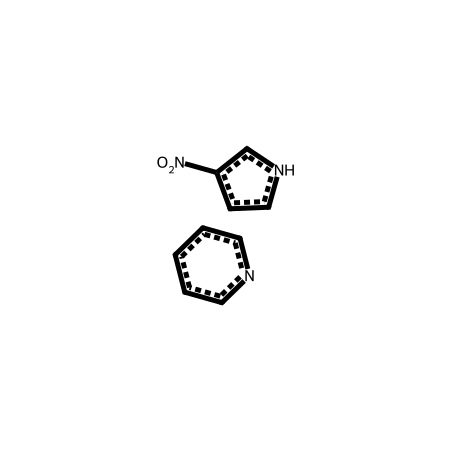 O=[N+]([O-])c1cc[nH]c1.c1ccncc1